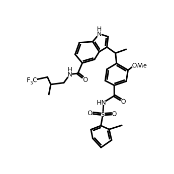 COc1cc(C(=O)NS(=O)(=O)c2ccccc2C)ccc1C(C)c1c[nH]c2ccc(C(=O)NCC(C)CC(F)(F)F)cc12